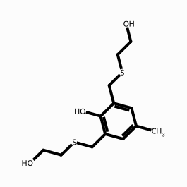 Cc1cc(CSCCO)c(O)c(CSCCO)c1